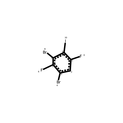 Fc1cc(Br)c(F)c(Br)c1I